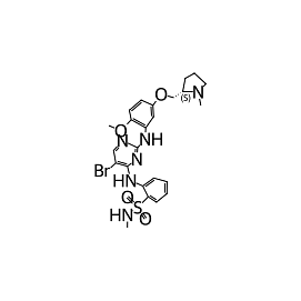 CNS(=O)(=O)c1ccccc1Nc1nc(Nc2cc(OC[C@@H]3CCCN3C)ccc2OC)ncc1Br